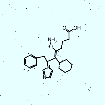 NO/C(CCCC(=O)O)=C(/C1CCCCC1)C(Cc1ccccc1)n1ccnc1